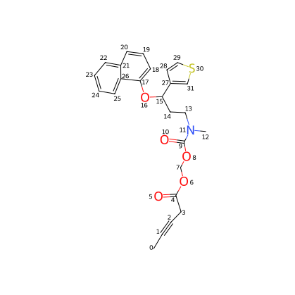 CC#CCC(=O)OCOC(=O)N(C)CCC(Oc1cccc2ccccc12)c1ccsc1